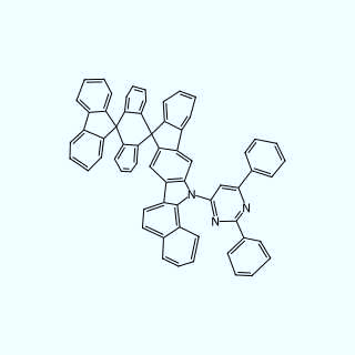 c1ccc(-c2cc(-n3c4cc5c(cc4c4ccc6ccccc6c43)C3(c4ccccc4-5)c4ccccc4C4(c5ccccc5-c5ccccc54)c4ccccc43)nc(-c3ccccc3)n2)cc1